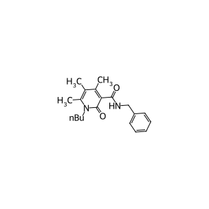 CCCCn1c(C)c(C)c(C)c(C(=O)NCc2ccccc2)c1=O